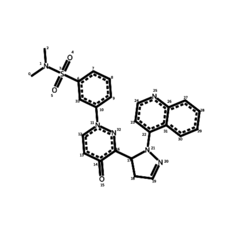 CN(C)S(=O)(=O)c1cccc(-n2ccc(=O)c(C3CC=NN3c3ccnc4ccccc34)n2)c1